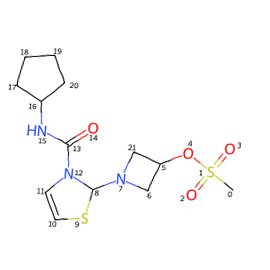 CS(=O)(=O)OC1CN(C2SC=CN2C(=O)NC2CCCC2)C1